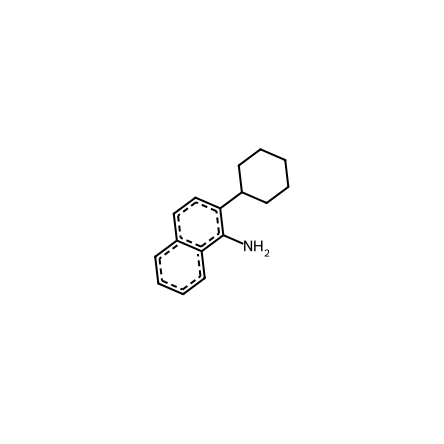 Nc1c(C2CCCCC2)ccc2ccccc12